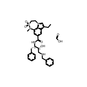 CCc1cn2c3c(cc(C(=O)N[C@@H](Cc4ccccc4)[C@H](O)CNCc4ccccc4)cc13)N(C)S(=O)(=O)CC2.O=CO